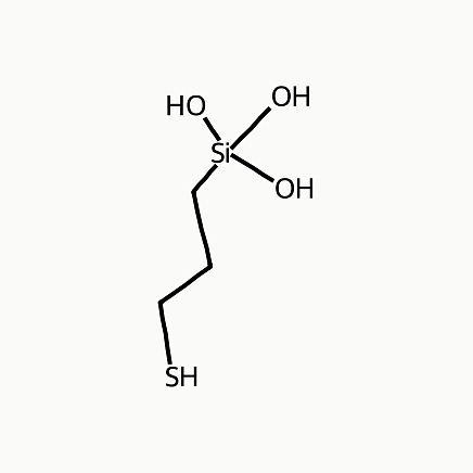 O[Si](O)(O)CCCS